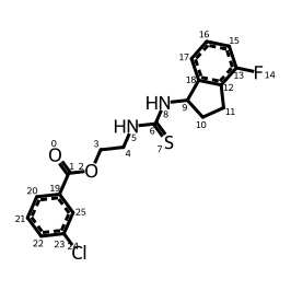 O=C(OCCNC(=S)NC1CCc2c(F)cccc21)c1cccc(Cl)c1